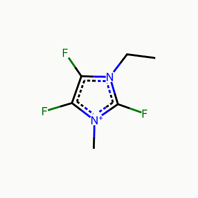 CCn1c(F)c(F)[n+](C)c1F